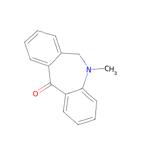 CN1Cc2ccccc2C(=O)c2ccccc21